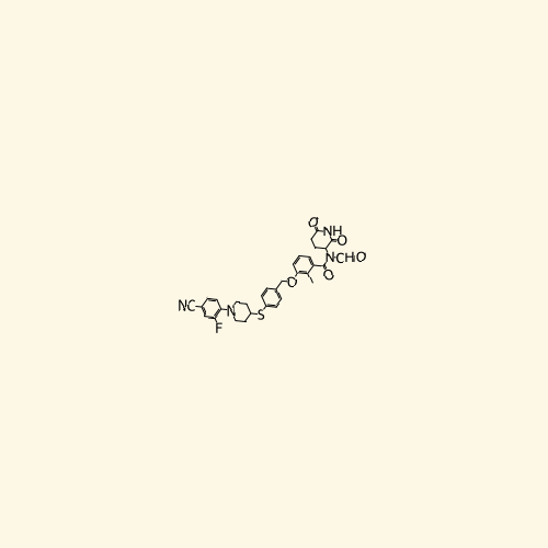 Cc1c(OCc2ccc(SC3CCN(c4ccc(C#N)cc4F)CC3)cc2)cccc1C(=O)N(C=O)C1CCC(=O)NC1=O